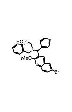 COc1nc2ccc(Br)cc2cc1C(c1ccccc1)N(CC(=O)O)Cc1ccccc1